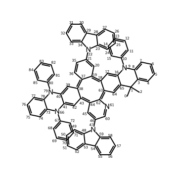 CC1(C)c2ccccc2N(c2ccccc2)c2cc3c4cc(-n5c6ccccc6c6ccccc65)ccc4c4cc5c(cc4c4cc(-n6c7ccccc7c7ccccc76)cnc4c3cc21)n(-c1ccccc1)c1ccccc1n5-c1ccccc1